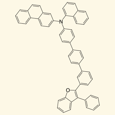 c1ccc(-c2c(-c3cccc(-c4ccc(-c5ccc(N(c6ccc7c(ccc8ccccc87)c6)c6cccc7ccccc67)cc5)cc4)c3)oc3ccccc23)cc1